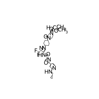 CC(C)(C)OC(=O)N1CCN([C@H]2CC[C@H](n3cc(NC(=O)c4coc(-c5ccnc(NCC6CC6)c5)n4)c(C(F)F)n3)CC2)C(=O)C1